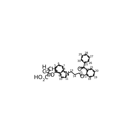 CC(C)(Oc1cccc2c1ccn2CCCOc1ccccc1C(=O)c1ccccc1)C(=O)O